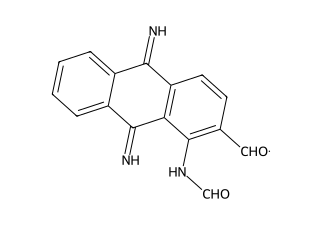 N=C1c2ccccc2C(=N)c2c1ccc([C]=O)c2NC=O